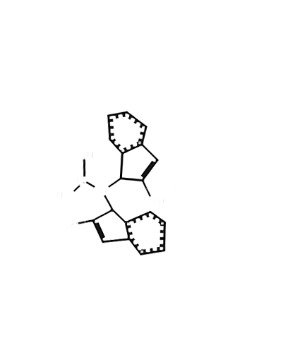 CCCCC1=Cc2ccccc2[CH]1[Zr+2]([CH]1C(CCCC)=Cc2ccccc21)[SiH](C)C.[F-].[F-]